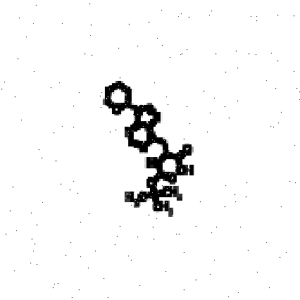 CC(C)(C)OC(=O)N[C@@H](Cc1ncnc2c1ncn2[C@H]1CCCCO1)C(=O)O